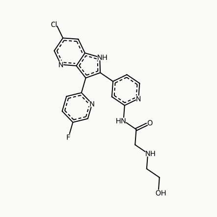 O=C(CNCCO)Nc1cc(-c2[nH]c3cc(Cl)cnc3c2-c2ccc(F)cn2)ccn1